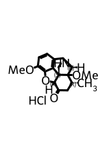 COc1ccc2c3c1O[C@H]1C(=O)C[C@@H](C)C4(OC)[C@@H](C2)NCC[C@]314.Cl